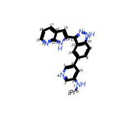 CC(C)Nc1cncc(-c2ccc3[nH]nc(-c4cc5cccnc5[nH]4)c3c2)c1